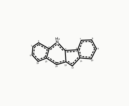 c1ccc2[nH]c3c4ccccc4cc-3cc2c1